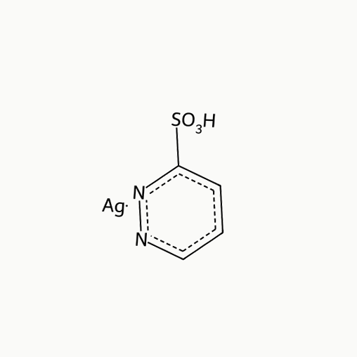 O=S(=O)(O)c1cccnn1.[Ag]